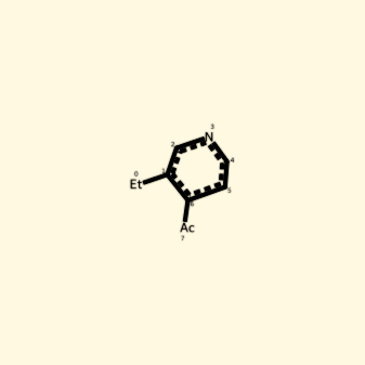 CCc1cnccc1C(C)=O